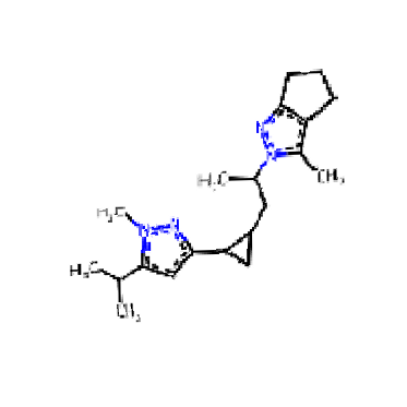 Cc1c2c(nn1C(C)CC1CC1c1cc(C(C)C)n(C)n1)CCC2